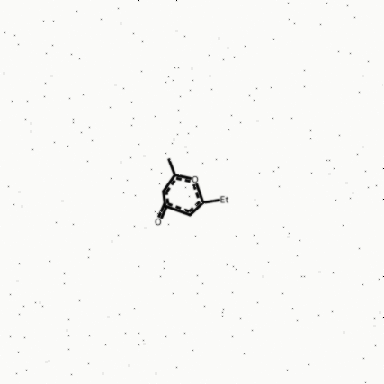 CCc1cc(=O)cc(C)o1